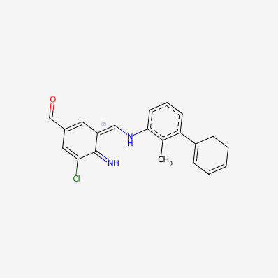 Cc1c(N/C=C2/C=C(C=O)C=C(Cl)C2=N)cccc1C1=CC=CCC1